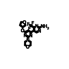 Nc1ncc(-c2cc(O[C@@H]3CCOC3)nc(N3CCOCC3)n2)c(C(F)(F)F)n1